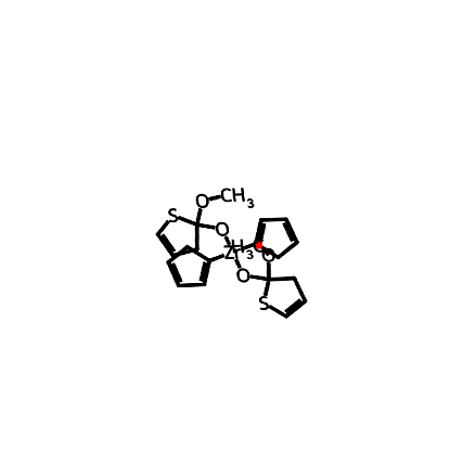 COC1([O][Zr]([O]C2(OC)CC=CS2)([C]2=CC=CC2)[C]2=CC=CC2)CC=CS1